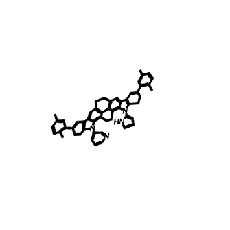 Cc1ccc(C)c(C2=Cc3c(n(-c4ccc[nH]4)c4c5c6c(cc34)CCc3cc4c7cc(-c8cc(C)ccc8C)ccc7n(-c7cccnc7)c4c(c3-6)CC5)CC2)c1